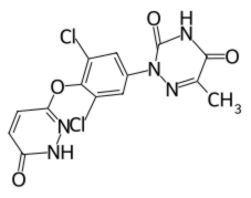 Cc1nn(-c2cc(Cl)c(Oc3ccc(=O)[nH]n3)c(Cl)c2)c(=O)[nH]c1=O